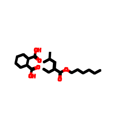 CCCCCCOC(=O)C(=CC(C)C)CC.O=C(O)C1CCCCC1C(=O)O